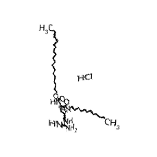 CCCCCCCCCCCCCCCCCCOC(=O)N[C@@H](CCCNC(=N)N)C(=O)NCCCCCCCCCCCC.Cl